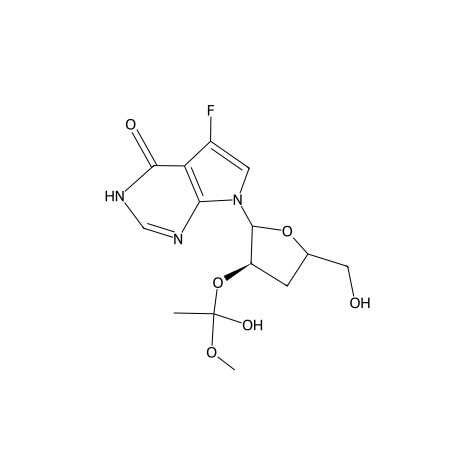 COC(C)(O)O[C@@H]1CC(CO)OC1n1cc(F)c2c(=O)[nH]cnc21